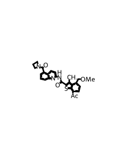 COCc1ccc(C(C)=O)c2sc(C(=O)Nc3ccc4c(C(=O)N5CCC5)cccc4n3)c(C)c12